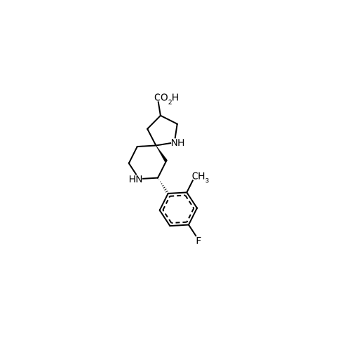 Cc1cc(F)ccc1[C@H]1C[C@@]2(CCN1)CC(C(=O)O)CN2